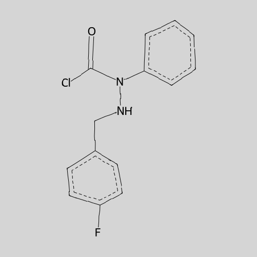 O=C(Cl)N(NCc1ccc(F)cc1)c1ccccc1